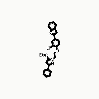 CCOc1cc(-c2ccccc2)nn1CCOc1ccc(-c2cc3ccccc3s2)cc1Cl